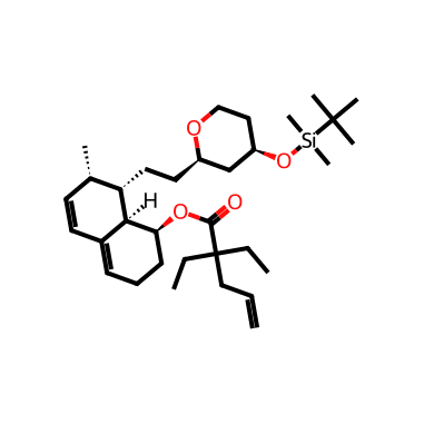 C=CCC(CC)(CC)C(=O)O[C@H]1CCC=C2C=C[C@H](C)[C@H](CC[C@@H]3C[C@H](O[Si](C)(C)C(C)(C)C)CCO3)[C@H]21